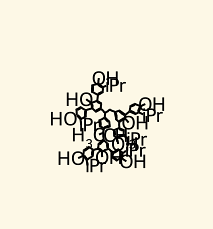 CC(C)c1cc(-c2cc(CC(c3ccc(C(C)(C)c4cc(-c5ccc(O)c(C(C)C)c5)c(O)c(-c5ccc(O)c(C(C)C)c5)c4)cc3)c3cc(-c4ccc(O)c(C(C)C)c4)c(O)c(-c4ccc(O)c(C(C)C)c4)c3)cc(-c3ccc(O)c(C(C)C)c3)c2O)ccc1O